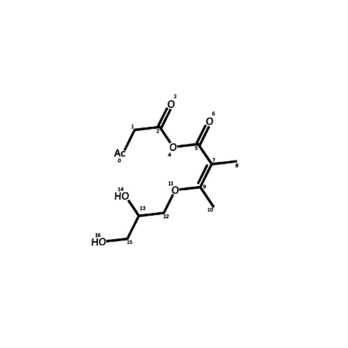 CC(=O)CC(=O)OC(=O)C(C)=C(C)OCC(O)CO